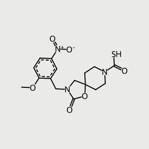 COc1ccc([N+](=O)[O-])cc1CN1CC2(CCN(C(=O)S)CC2)OC1=O